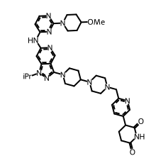 COC1CCN(c2nccc(Nc3cc4c(cn3)c(N3CCC(N5CCN(Cc6ccc(C7CCC(=O)NC7=O)cn6)CC5)CC3)nn4C(C)C)n2)CC1